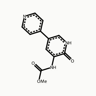 COC(=O)Nc1cc(-c2ccncc2)c[nH]c1=O